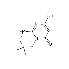 CC1(C)CNc2nc(O)cc(=O)n2C1